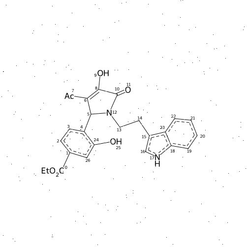 CCOC(=O)c1ccc(C2C(C(C)=O)=C(O)C(=O)N2CCc2c[nH]c3ccccc23)c(O)c1